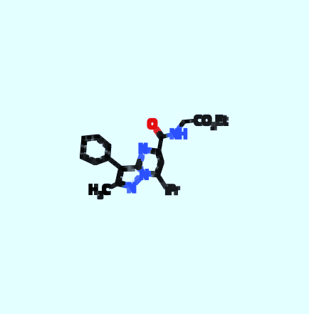 CCOC(=O)CNC(=O)c1cc(C(C)C)n2nc(C)c(-c3ccccc3)c2n1